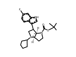 CC(C)(C)OC(=O)N1CC[C@@H]2[C@H]1C(c1c[nH]c3cc(F)ccc13)CN2C1CCCC1